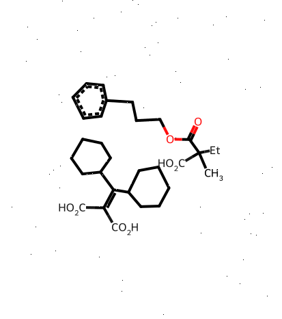 CCC(C)(C(=O)O)C(=O)OCCCc1ccccc1.O=C(O)C(C(=O)O)=C(C1CCCCC1)C1CCCCC1